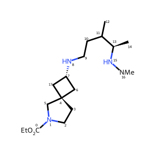 CCOC(=O)N1CC[C@]2(C1)C[C@@H](NCCC(C)[C@@H](C)NNC)C2